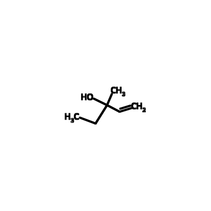 C=CC(C)(O)CC